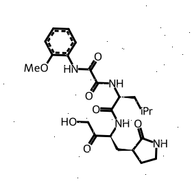 COc1ccccc1NC(=O)C(=O)N[C@@H](CC(C)C)C(=O)N[C@@H](C[C@@H]1CCNC1=O)C(=O)CO